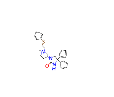 C[N+]1(CCSc2ccccc2)CCC(N2CC(c3ccccc3)(c3ccccc3)NC2=O)C1